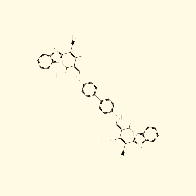 CC1=C(C#N)c2nc3ccccc3n2C(O)/C1=C\Nc1ccc(-c2ccc(N/C=C3/C(C)=C(C#N)c4nc5ccccc5n4C3O)cc2)cc1